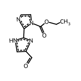 CCOC(=O)n1ccnc1-c1nc(C=O)c[nH]1